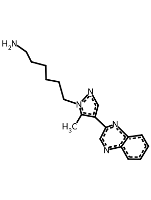 Cc1c(-c2cnc3ccccc3n2)cnn1CCCCCCN